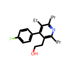 CCc1c(C(C)C)nc(C(C)C)c(CCO)c1-c1ccc(F)cc1